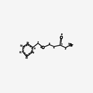 O=C(CBr)CCOCc1ccccc1